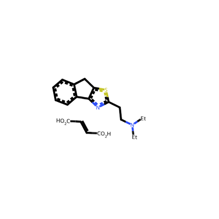 CCN(CC)CCc1nc2c(s1)Cc1ccccc1-2.O=C(O)/C=C/C(=O)O